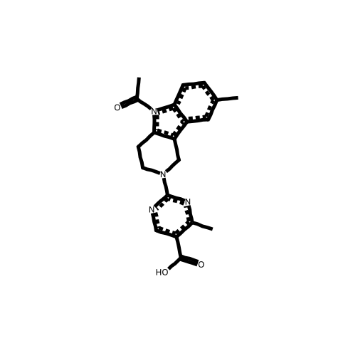 CC(=O)n1c2c(c3cc(C)ccc31)CN(c1ncc(C(=O)O)c(C)n1)CC2